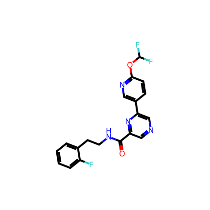 O=C(NCCc1ccccc1F)c1cncc(-c2ccc(OC(F)F)nc2)n1